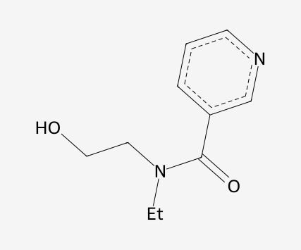 CCN(CCO)C(=O)c1cccnc1